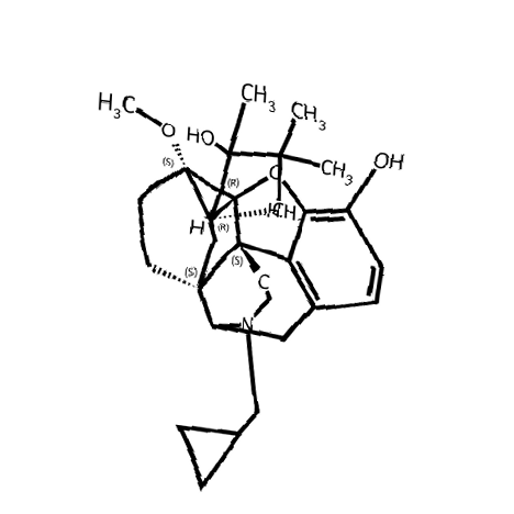 CO[C@@]12CC[C@@]3(C[C@@H]1C(C)(O)C(C)(C)C)C1Cc4ccc(O)c5c4[C@@]3(CCN1CC1CC1)[C@H]2O5